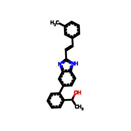 Cc1cccc(/C=C/c2nc3cc(-c4ccccc4C(C)O)ccc3[nH]2)c1